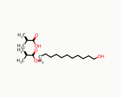 C=C(C)C(=O)O.C=C(C)C(=O)O.CCCCCCCCCCCO